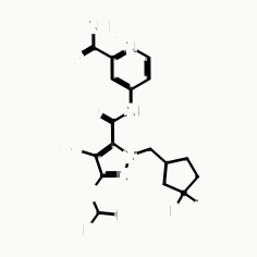 Cc1c(OC(F)F)nn(CC2CCC(F)(F)C2)c1C(=O)Nc1ccnc(C(N)=O)c1